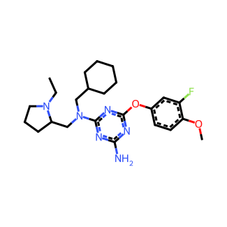 CCN1CCCC1CN(CC1CCCCC1)c1nc(N)nc(Oc2ccc(OC)c(F)c2)n1